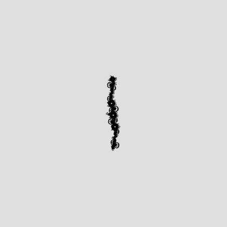 C=CC(=O)OCCCCOc1ccc(C(=O)Oc2ccc(OC(=O)c3ccc(OCCCCOC(=O)C=C4CCC4)cc3)c(C)c2)cc1